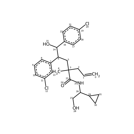 C=CCC(C)(CC(c1cccc(Cl)c1)C(O)c1ccc(Cl)cc1)C(=O)NC(CO)C1CC1